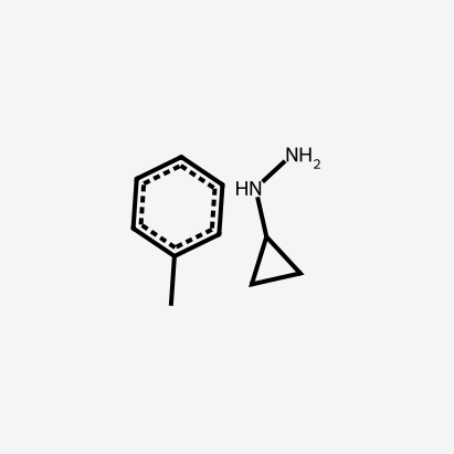 Cc1ccccc1.NNC1CC1